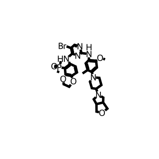 COc1cc(N2CCC(N3CC4COCC4C3)CC2)c(C)cc1Nc1ncc(Br)c(Nc2ccc3c(c2P(C)(C)=O)OCCO3)n1